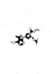 CC(C)(C)OC(=O)N1C[C@@H](n2nc(I)c3c(N)ncnc32)C[C@@H]1COC(F)F